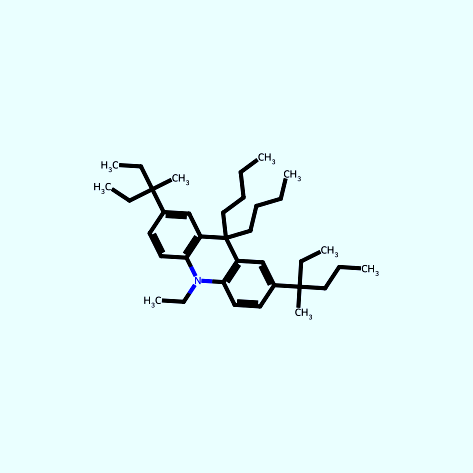 CCCCC1(CCCC)c2cc(C(C)(CC)CC)ccc2N(CC)c2ccc(C(C)(CC)CCC)cc21